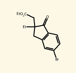 CCOC(=O)CC1(CC)Cc2cc(Br)ccc2C1=O